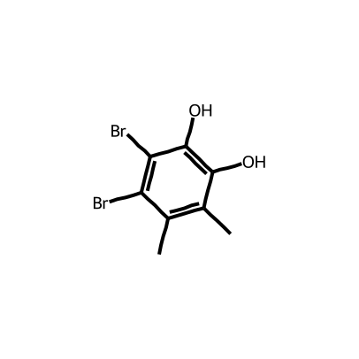 Cc1c(C)c(Br)c(Br)c(O)c1O